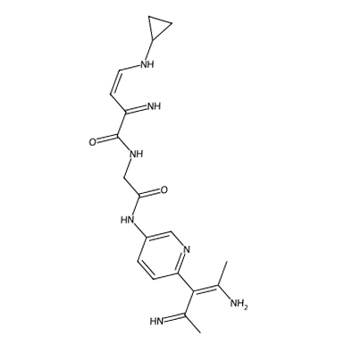 CC(=N)/C(=C(/C)N)c1ccc(NC(=O)CNC(=O)C(=N)/C=C\NC2CC2)cn1